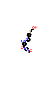 CC(=O)N1CCN(C(=O)c2ccc(Nc3cccc(-c4ccc(SCCCO)cc4)n3)cc2)CC1